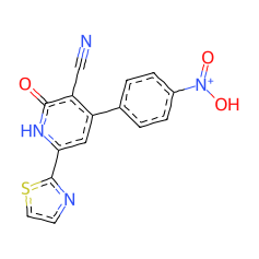 N#Cc1c(-c2ccc([N+](=O)O)cc2)cc(-c2nccs2)[nH]c1=O